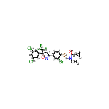 CN(CSc1ccc(C2=NOC(c3cc(Cl)cc(Cl)c3)(C(F)(F)F)C2)cc1Br)C(=O)C1CC1